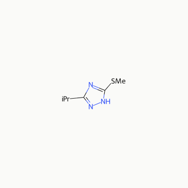 CSc1nc(C(C)C)n[nH]1